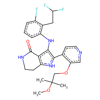 COC(C)(C)COc1cnccc1-c1[nH]c2c(c1Nc1cccc(F)c1CC(F)F)C(=O)NCC2